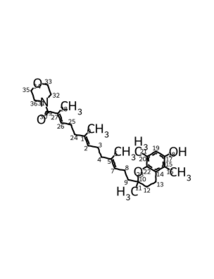 C/C(=C\CC/C(C)=C/CCC1(C)CCc2c(C)c(O)cc(C)c2O1)CC/C=C(\C)C(=O)N1CCOCC1